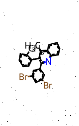 Cc1ccccc1-c1c(-c2cc(Br)cc(Br)c2)nc2ccccc2c1C